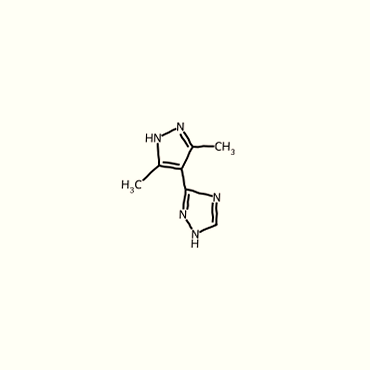 Cc1n[nH]c(C)c1-c1nc[nH]n1